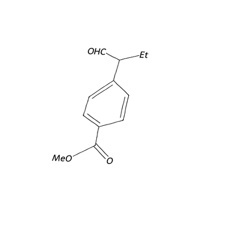 CCC(C=O)c1ccc(C(=O)OC)cc1